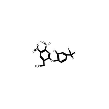 CCc1cc([N+](=O)[O-])c([PH](=O)O)cc1Oc1ccc(C(F)(F)F)cc1Cl